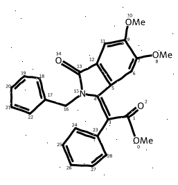 COC(=O)/C(=C1\c2cc(OC)c(OC)cc2C(=O)N1Cc1ccccc1)c1ccccc1